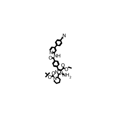 CCOC(=O)c1c(-c2ccc(C(=O)Nc3cc(-c4ccc(C#N)cc4)ccn3)cc2)nc(C2CCCCN2C(=O)OC(C)(C)C)n1N